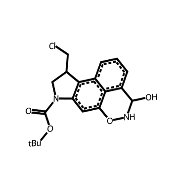 CC(C)(C)OC(=O)N1CC(CCl)c2c1cc1c3c(cccc23)C(O)NO1